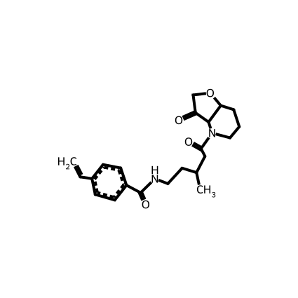 C=Cc1ccc(C(=O)NCCC(C)CC(=O)N2CCCC3OCC(=O)C32)cc1